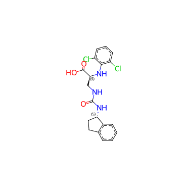 O=C(NC[C@H](Nc1c(Cl)cccc1Cl)C(=O)O)N[C@H]1CCc2ccccc21